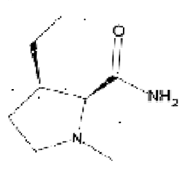 CC[C@@H]1CCN(C)[C@@H]1C(N)=O